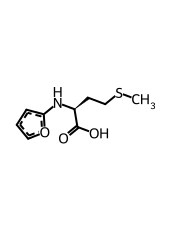 CSCC[C@H](Nc1ccco1)C(=O)O